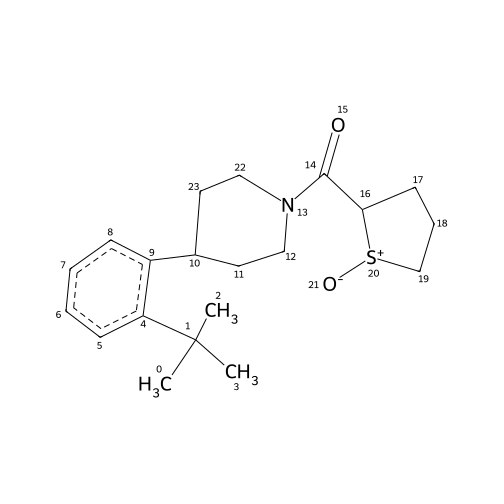 CC(C)(C)c1ccccc1C1CCN(C(=O)C2CCC[S+]2[O-])CC1